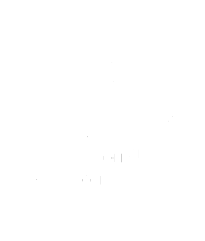 OC1C(Cl)=CC=CC1(O)c1c(Cl)c(Cl)c(Cl)c(Cl)c1Cl